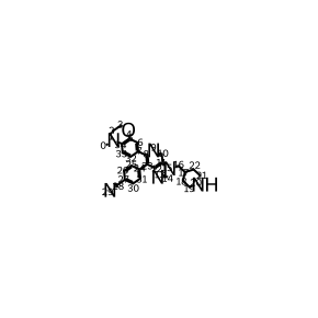 CN1CCOc2cc(-c3ncc4c(ncn4CC4CCNCC4)c3-c3ccc(C#N)cc3)ccc21